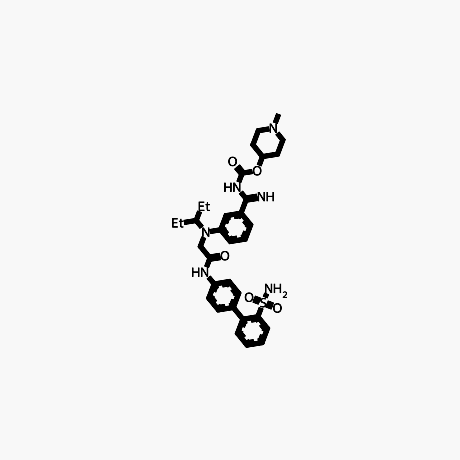 CCC(CC)N(CC(=O)Nc1ccc(-c2ccccc2S(N)(=O)=O)cc1)c1cccc(C(=N)NC(=O)OC2CCN(C)CC2)c1